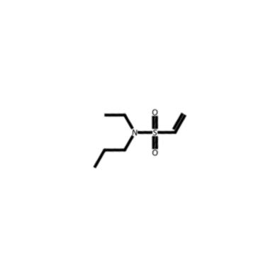 C=CS(=O)(=O)N(CC)CCC